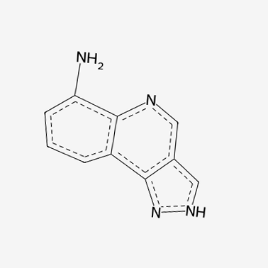 Nc1cccc2c1ncc1c[nH]nc12